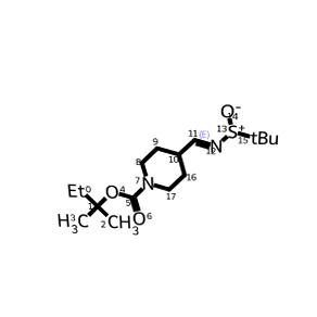 CCC(C)(C)OC(=O)N1CCC(/C=N/[S+]([O-])C(C)(C)C)CC1